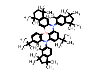 Cc1cc2c(cc1N1c3cc4c(cc3B3c5ccc(C(C)(C)C)cc5N(c5ccc6c(c5C)C(C)(C)CC6(C)C)c5cc(C(C)(C)C)cc1c53)C(C)(C)CCC4(C)C)C(C)(C)CC2(C)C